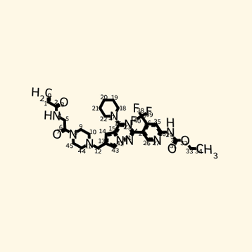 C=CC(=O)NCC(=O)N1CCN(Cc2cc3c(N4CCCCC4)nc(-c4cnc(NC(=O)OCC)cc4C(F)(F)F)nn3c2)CC1